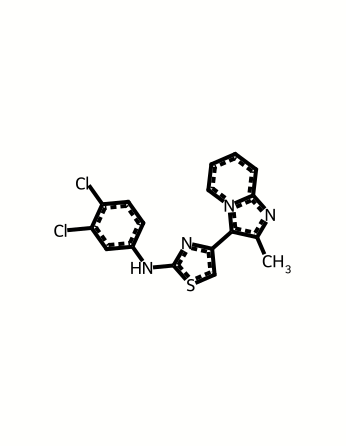 Cc1nc2ccccn2c1-c1csc(Nc2ccc(Cl)c(Cl)c2)n1